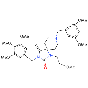 C=C1N(Cc2cc(OC)c(OC)c(OC)c2)C(=O)N(CCOC)C12CCN(Cc1cc(OC)cc(OC)c1)CC2